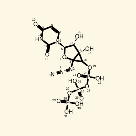 [N-]=[N+]=NC12O[C@@H](n3ccc(=O)[nH]c3=O)[C@H](O)[C@@]1(O)C2OP(=O)(O)OP(=O)(O)OP(=O)(O)O